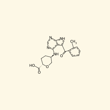 Cc1ccccc1C(=O)c1c[nH]c2ncnc(N[C@@H]3CC[C@@H](C(=O)O)OC3)c12